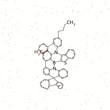 CCCCc1ccc(N2c3cc(C)cc4c3B(c3sc5ccccc5c32)N2c3ccccc3C3(c5ccccc5-c5ccccc53)c3cccc-4c32)c(-c2ccccc2)c1